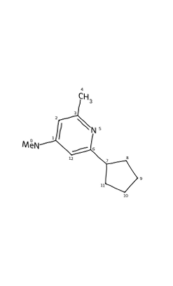 CNc1cc(C)nc(C2CCCC2)c1